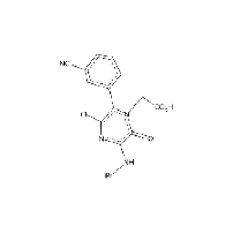 CC(C)Nc1nc(Cl)c(-c2cccc(C#N)c2)n(CC(=O)O)c1=O